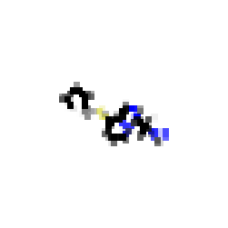 CNC(C)(C)c1ncc2c(SCC3CCCC3)cccn12